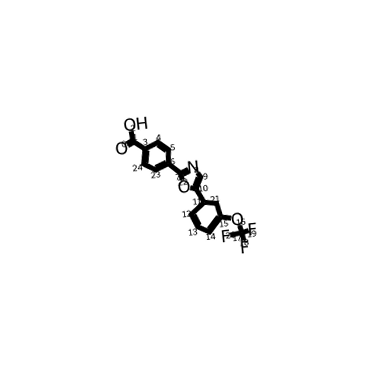 O=C(O)c1ccc(-c2ncc(C3C=CC=C(OC(F)(F)F)C3)o2)cc1